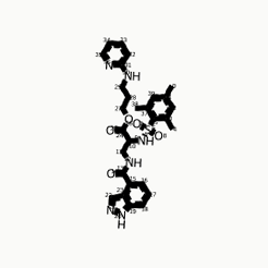 Cc1cc(C)c(S(=O)(=O)NC(CNC(=O)c2cccc3[nH]ncc23)C(=O)OCCCNc2ccccn2)c(C)c1